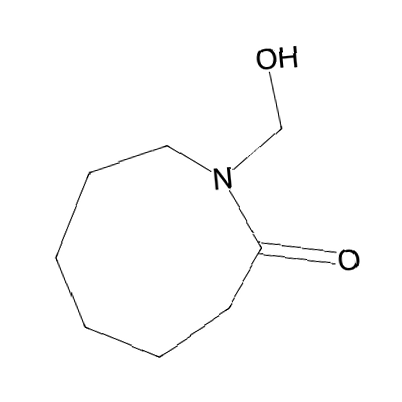 O=C1CCCCCCN1CO